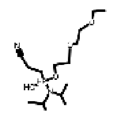 CCOCCOCCO[PH](O)(CCC#N)N(C(C)C)C(C)C